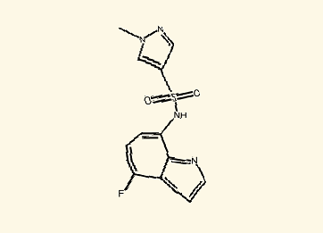 Cn1cc(S(=O)(=O)Nc2ccc(F)c3cccnc23)cn1